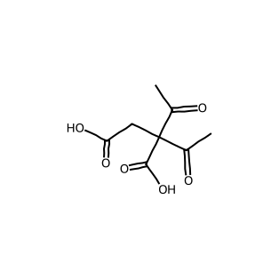 CC(=O)C(CC(=O)O)(C(C)=O)C(=O)O